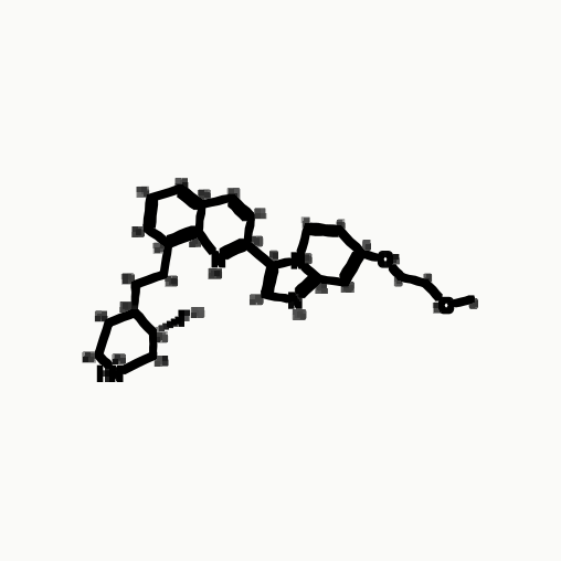 COCCOc1ccn2c(-c3ccc4cccc(CC[C@@H]5CCNC[C@H]5F)c4n3)cnc2c1